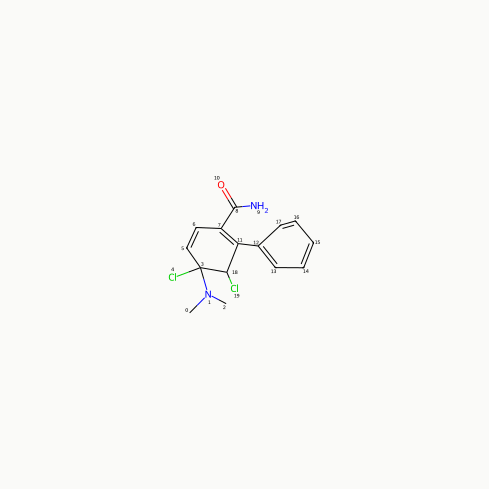 CN(C)C1(Cl)C=CC(C(N)=O)=C(c2ccccc2)C1Cl